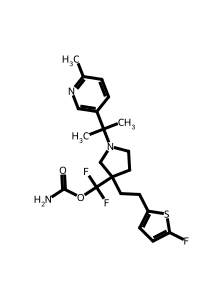 Cc1ccc(C(C)(C)N2CCC(CCc3ccc(F)s3)(C(F)(F)OC(N)=O)C2)cn1